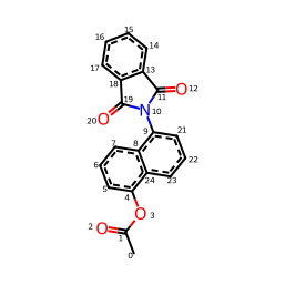 CC(=O)Oc1cccc2c(N3C(=O)c4ccccc4C3=O)cccc12